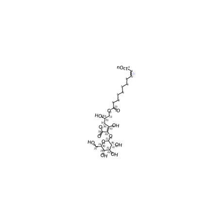 CCCCCCCC/C=C\CCCCCCCC(=O)OC[C@H](O)[C@H]1OC(=O)C(OC2O[C@H](CO)[C@@H](O)[C@H](O)[C@H]2O)=C1O